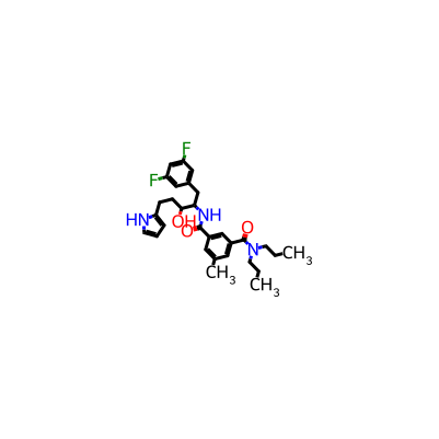 CCCN(CCC)C(=O)c1cc(C)cc(C(=O)NC(Cc2cc(F)cc(F)c2)C(O)CCc2ccc[nH]2)c1